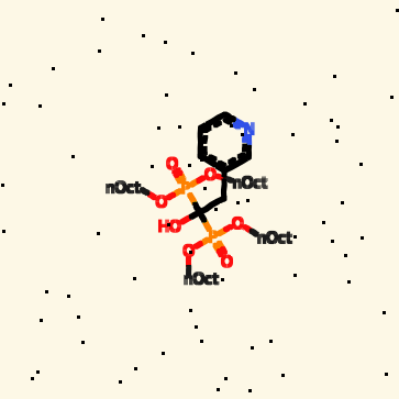 CCCCCCCCOP(=O)(OCCCCCCCC)C(O)(Cc1cccnc1)P(=O)(OCCCCCCCC)OCCCCCCCC